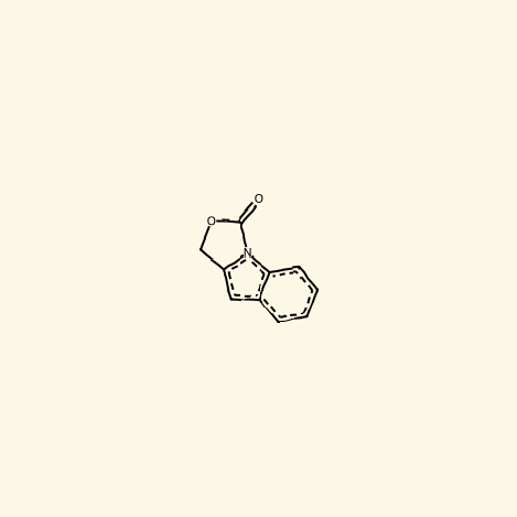 O=C1OCc2cc3ccccc3n21